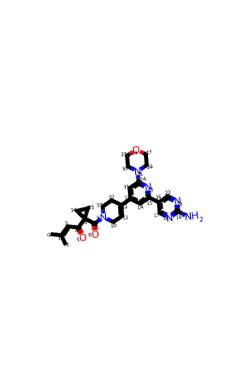 CC(C)=CC(=O)C1(C(=O)N2CC=C(c3cc(-c4cnc(N)nc4)nc(N4CCOCC4)c3)CC2)CC1